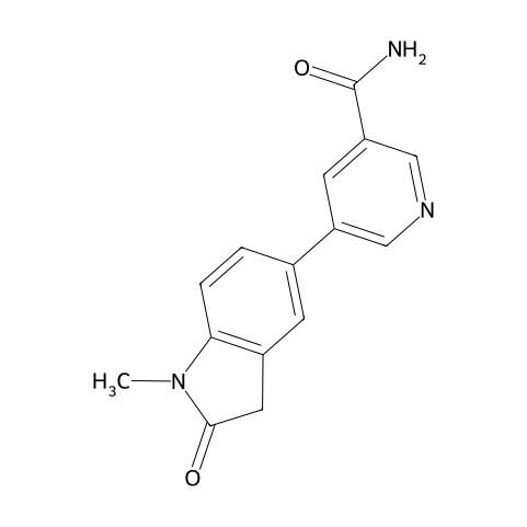 CN1C(=O)Cc2cc(-c3cncc(C(N)=O)c3)ccc21